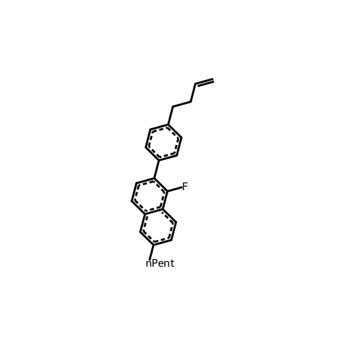 C=CCCc1ccc(-c2ccc3cc(CCCCC)ccc3c2F)cc1